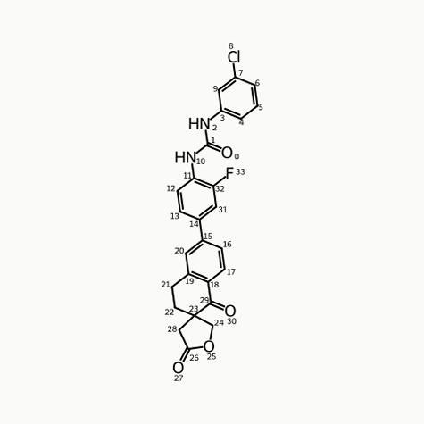 O=C(Nc1cccc(Cl)c1)Nc1ccc(-c2ccc3c(c2)CCC2(COC(=O)C2)C3=O)cc1F